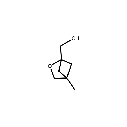 CC12COC(CO)(C1)C2